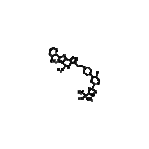 Cc1cccnc1-c1nc2c3cnn(CCN4CCN(c5cc(-c6noc(C(C)(C)O)n6)ccc5F)CC4)c3nc(N)n2n1